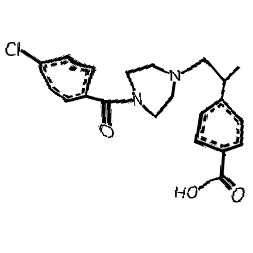 CC(CN1CCN(C(=O)c2ccc(Cl)cc2)CC1)c1ccc(C(=O)O)cc1